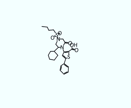 CCCCS(=O)(=O)N1CC(=O)N(c2cc(-c3ccccc3)sc2C(=O)O)C(C2CCCCC2)C1